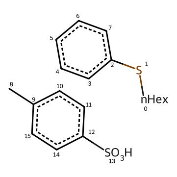 CCCCCCSc1ccccc1.Cc1ccc(S(=O)(=O)O)cc1